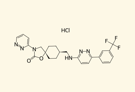 Cl.O=C1O[C@]2(CC[C@H](CNc3ccc(-c4cccc(C(F)(F)F)c4)nn3)CC2)CN1c1cccnn1